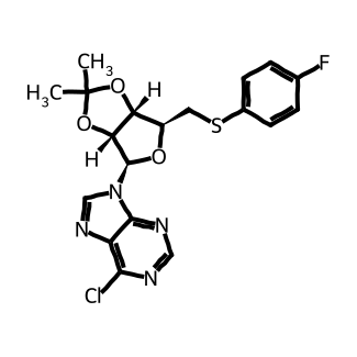 CC1(C)O[C@@H]2[C@H](O1)[C@@H](CSc1ccc(F)cc1)O[C@H]2n1cnc2c(Cl)ncnc21